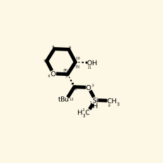 C[SiH](C)OC([C@@H]1OCCC[C@@H]1O)C(C)(C)C